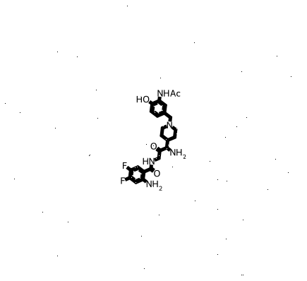 CC(=O)Nc1cc(CN2CCC(C(N)C(=O)CNC(=O)c3cc(F)c(F)cc3N)CC2)ccc1O